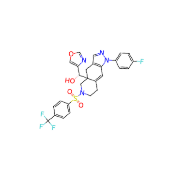 O=S(=O)(c1ccc(C(F)(F)F)cc1)N1CCC2=Cc3c(cnn3-c3ccc(F)cc3)CC2([C@H](O)c2cocn2)C1